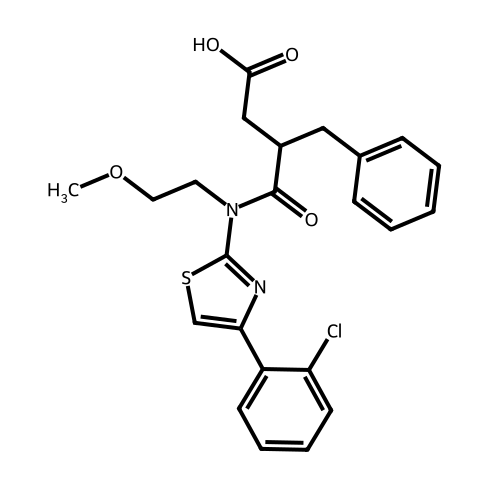 COCCN(C(=O)C(CC(=O)O)Cc1ccccc1)c1nc(-c2ccccc2Cl)cs1